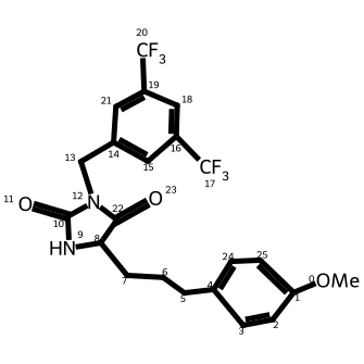 COc1ccc(CCCC2NC(=O)N(Cc3cc(C(F)(F)F)cc(C(F)(F)F)c3)C2=O)cc1